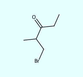 CCC(=O)C(C)CBr